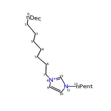 CCCCCCCCCCCCCCCCC[n+]1ccn(CCCCC)c1